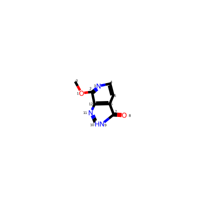 COc1nccc2c(=O)[nH]cnc12